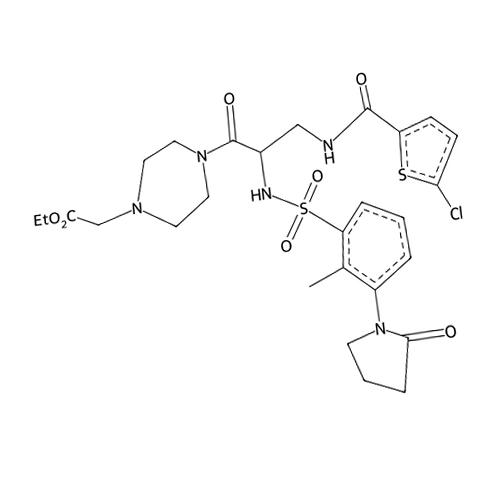 CCOC(=O)CN1CCN(C(=O)C(CNC(=O)c2ccc(Cl)s2)NS(=O)(=O)c2cccc(N3CCCC3=O)c2C)CC1